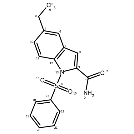 NC(=O)c1cc2cc([CH]C(F)(F)F)ccc2n1S(=O)(=O)c1ccccc1